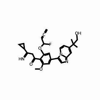 C=C=CC(F)Oc1cc(-c2cnc3cc(C(C)(C)CO)ccn23)cc(OC)c1C(=O)CC(=N)C1CC1